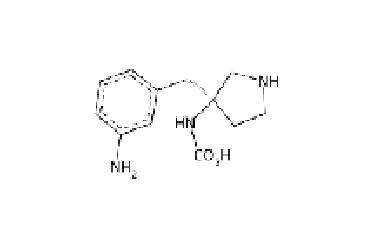 Nc1cccc(C[C@@]2(NC(=O)O)CCNC2)c1